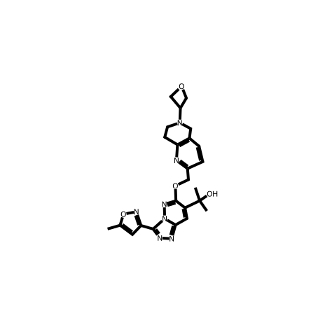 Cc1cc(-c2nnc3cc(C(C)(C)O)c(OCc4ccc5c(n4)CCN(C4COC4)C5)nn23)no1